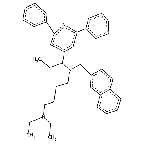 CCC(c1cc(-c2ccccc2)nc(-c2ccccc2)c1)N(CCCCN(CC)CC)Cc1ccc2ccccc2c1